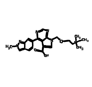 Cn1cc2ccc(-c3ncnc4c3c(C(=O)O)cn4COCC[Si](C)(C)C)cc2n1